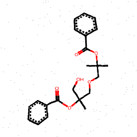 CC(C)(COCC(C)(CO)OC(=O)c1ccccc1)OC(=O)c1ccccc1